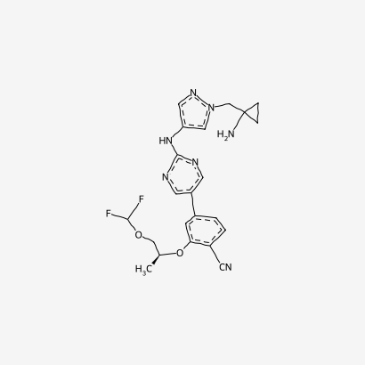 C[C@@H](COC(F)F)Oc1cc(-c2cnc(Nc3cnn(CC4(N)CC4)c3)nc2)ccc1C#N